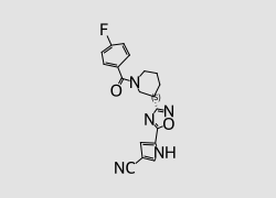 N#Cc1c[nH]c(-c2nc([C@H]3CCCN(C(=O)c4ccc(F)cc4)C3)no2)c1